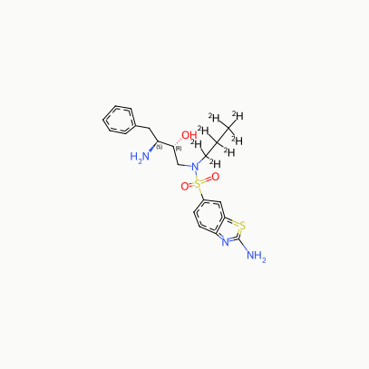 [2H]C([2H])([2H])C([2H])([2H])C([2H])([2H])N(C[C@@H](O)[C@@H](N)Cc1ccccc1)S(=O)(=O)c1ccc2nc(N)sc2c1